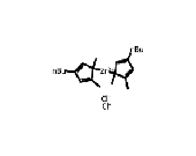 CCCCC1=C[C](C)([Zr+2][C]2(C)C=C(CCCC)C=C2C)C(C)=C1.[Cl-].[Cl-]